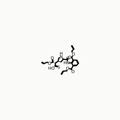 C=CCOC(=O)c1cccc(C(=O)OCC=C)c1NC(=O)C1C[C@@H]([C@@H](C(=O)OCC=C)C(O)=S)CN1